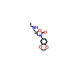 CCNC[C@@H]1CN(c2ccc3c(c2)OCCO3)C(=O)O1